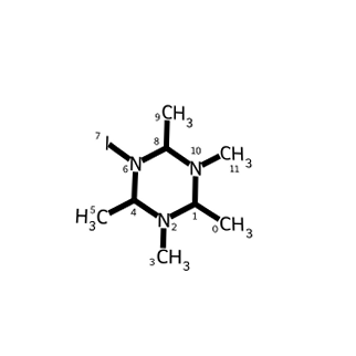 CC1N(C)C(C)N(I)C(C)N1C